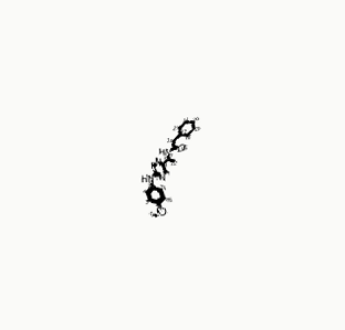 COc1ccc(Nc2ncc(C(C)NC(=O)CC3CCCCC3)nn2)cc1